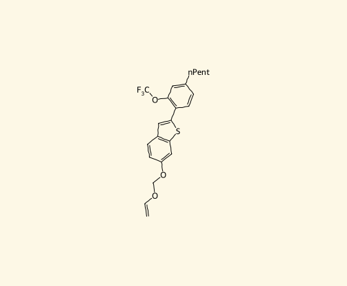 C=COCOc1ccc2cc(-c3ccc(CCCCC)cc3OC(F)(F)F)sc2c1